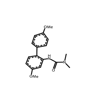 COc1ccc(-c2ccc(OC)cc2NC(=O)N(C)C)cc1